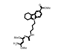 C=C(/N=C(\C=C(/N)OC)OC)NCCCCn1c2c(c3cc(C(=O)OC)ccc31)CCCC2